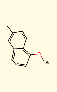 Cc1ccc2c(OC(C)(C)C)cccc2c1